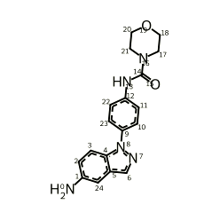 Nc1ccc2c(cnn2-c2ccc(NC(=O)N3CCOCC3)cc2)c1